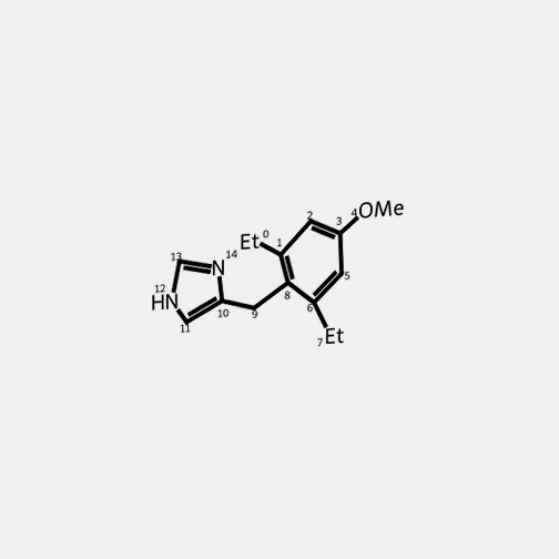 CCc1cc(OC)cc(CC)c1Cc1c[nH]cn1